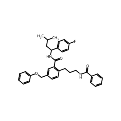 CC(C)CC(NC(=O)c1cc(COc2ccccc2)ccc1CCCNC(=O)c1ccccc1)c1ccc(F)cc1